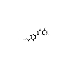 CCCC(=O)c1c(O)cc(-c2oc3cc(O)cc(O)c3c(=O)c2O)cc1O